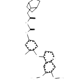 COc1cc2nccc(Oc3ccc(NC(=O)NC(=O)CC4C5CCC4CC5)cc3Cl)c2cc1OC